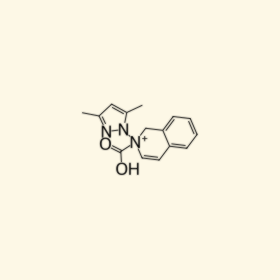 Cc1cc(C)n([N+]2(C(=O)O)C=Cc3ccccc3C2)n1